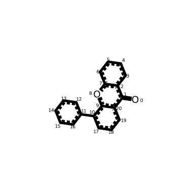 O=c1c2ccccc2oc2c(-c3ccccc3)cccc12